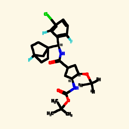 [2H]C([2H])([2H])O[C@@H]1CC(C(=O)N[C@H](c2c(F)ccc(Cl)c2F)C23CCC(F)(CC2)C3)C[C@@H]1NC(=O)OC(C)(C)C